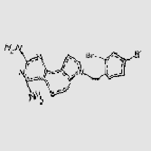 Nc1nc(N)c2ccc3c(ccn3Cc3ccc(Br)cc3Br)c2n1